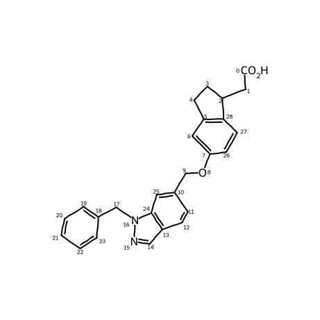 O=C(O)CC1CCc2cc(OCc3ccc4cnn(Cc5ccccc5)c4c3)ccc21